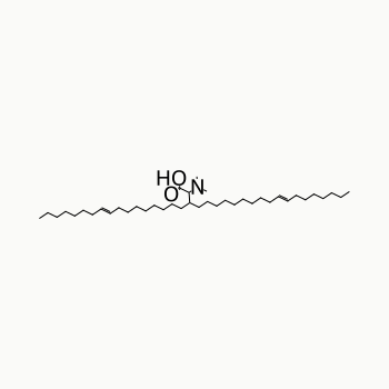 CCCCCCC/C=C/CCCCCCCCCC(CCCCCCCC/C=C/CCCCCCC)C(C(=O)O)N(C)C